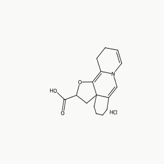 Cl.O=C(O)C1CC23CCCCC2=CN2C=CCCC2=C3O1